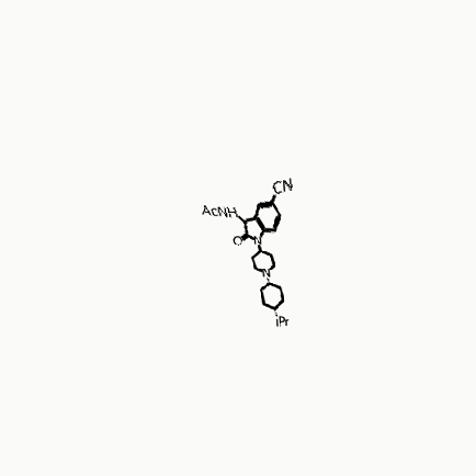 CC(=O)NC1C(=O)N(C2CCN([C@H]3CC[C@@H](C(C)C)CC3)CC2)c2ccc(C#N)cc21